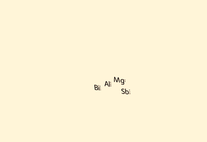 [Al].[Bi].[Mg].[Sb]